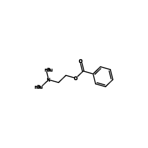 CCCCN(CCCC)CCOC(=O)c1ccccc1